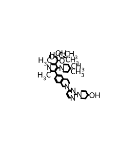 Cc1nc(C)c([C@H](OC(C)(C)C)C(=O)O)c(N2CCC(C)(C)CC2)c1-c1ccc2c(c1)CCN(c1ccnc(N3CCC(O)CC3)n1)C2